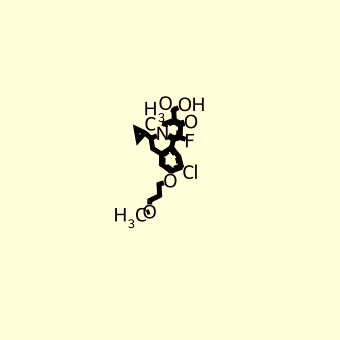 COCCCOc1cc2c(cc1Cl)-c1c(F)c(=O)c(C(=O)O)cn1C(C1(C)CC1)C2